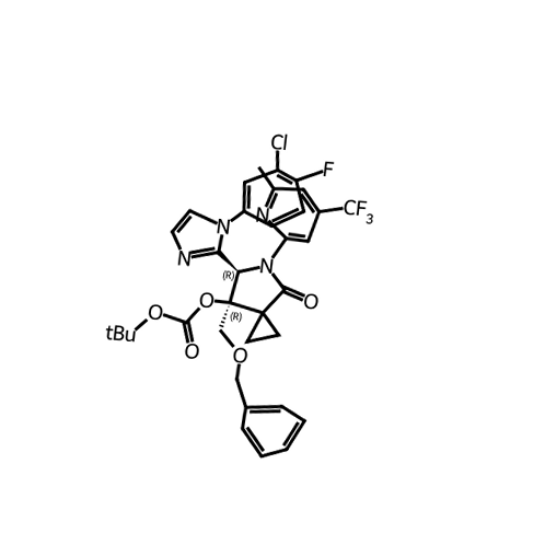 Cc1cc(C(F)(F)F)cc(N2C(=O)C3(CC3)[C@@](COCc3ccccc3)(OC(=O)OC(C)(C)C)[C@H]2c2nccn2-c2ccc(F)c(Cl)c2)n1